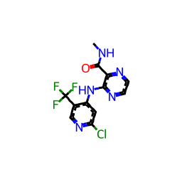 CNC(=O)c1nccnc1Nc1cc(Cl)ncc1C(F)(F)F